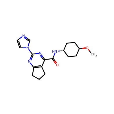 CO[C@H]1CC[C@H](NC(=O)c2nc(-n3ccnc3)nc3c2CCC3)CC1